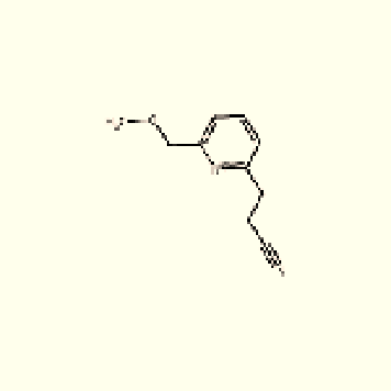 COCc1cccc(CCC#N)n1